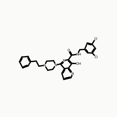 O=C(NCc1cc(Cl)cc(Cl)c1)c1nc(N2CCN(CCc3ccccc3)CC2)c2cccnc2c1O